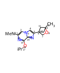 CNc1cn2cc(C34COC(C)(C3)C4)nc2c(OC(C)C)n1